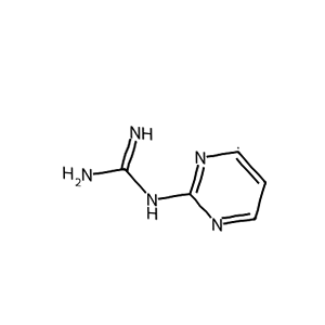 N=C(N)Nc1n[c]ccn1